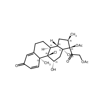 CC(=O)OCC(=O)[C@@]1(OC(C)=O)[C@H](C)C[C@H]2[C@@H]3CCC4=CC(=O)C=C[C@]4(C)[C@@]3(Cl)[C@@H](O)C[C@@]21C